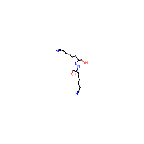 N#CCCCCCC(CO)N=NC(CO)CCCCCC#N